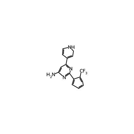 Nc1cc(C2=CCNC=C2)nc(-c2ccccc2C(F)(F)F)n1